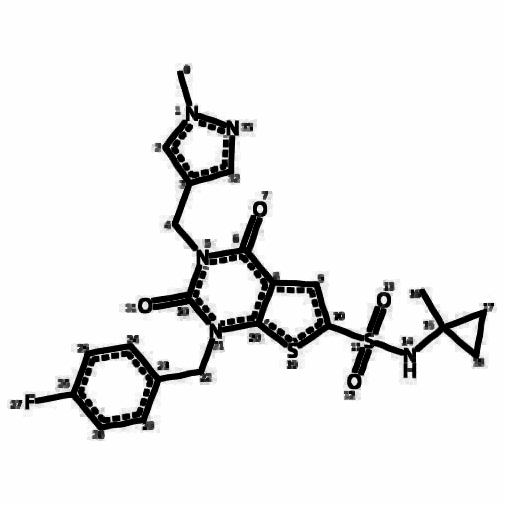 Cn1cc(Cn2c(=O)c3cc(S(=O)(=O)NC4(C)CC4)sc3n(Cc3ccc(F)cc3)c2=O)cn1